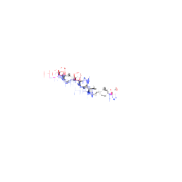 CN(C)C(=O)c1ccc(-c2ccc(Nc3cncc(NC(=O)c4ccc(NC(=O)O)cc4)c3)nc2)cc1